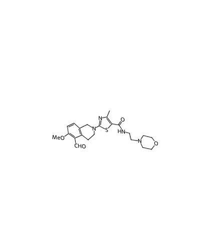 COc1ccc2c(c1C=O)CCN(c1nc(C)c(C(=O)NCCN3CCOCC3)s1)C2